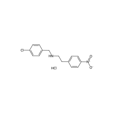 Cl.O=[N+]([O-])c1ccc(CCNCc2ccc(Cl)cc2)cc1